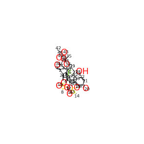 C=C1C[C@H]2[C@@H]3[C@@H](OS(C)(=O)=O)[C@@H](OS(C)(=O)=O)C4=CC(=O)C=C[C@]4(C)[C@@]3(F)[C@@H](O)C[C@]2(C)[C@]1(OC(C)=O)C(=O)COC(C)=O